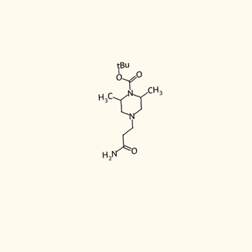 CC1CN(CCC(N)=O)CC(C)N1C(=O)OC(C)(C)C